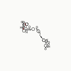 Cn1c(=O)n(C2CCC(=O)NC2=O)c2ccc(C#CCCN3CCN(C(=O)[C@H]4CC[C@H](NC(=O)[C@@H]5NC6(CCCCC6)[C@@]6(C(=O)Nc7cc(Cl)ccc76)[C@H]5c5cccc(Cl)c5F)CC4)CC3)cc21